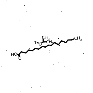 CC(C)[O][Ti].CCCCCCCCCCCCCCCCCC(=O)O